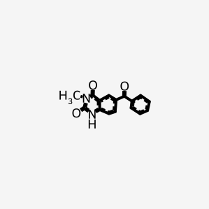 Cn1c(=O)[nH]c2ccc(C(=O)c3ccccc3)cc2c1=O